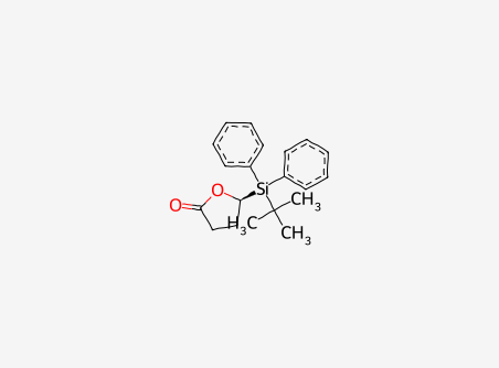 CC(C)(C)[Si](c1ccccc1)(c1ccccc1)[C@H]1CCC(=O)O1